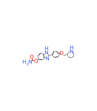 NC(=O)Oc1ccc2[nH]c(-c3ccc(OCC4CCCNC4)cc3)nc2c1